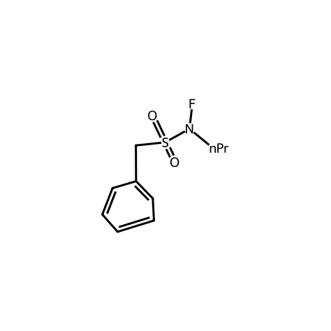 CCCN(F)S(=O)(=O)Cc1ccccc1